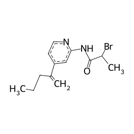 C=C(CCC)c1ccnc(NC(=O)C(C)Br)c1